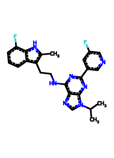 Cc1[nH]c2c(F)cccc2c1CCNc1nc(-c2cncc(F)c2)nc2c1ncn2C(C)C